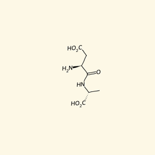 C[C@@H](NC(=O)[C@@H](N)CC(=O)O)C(=O)O